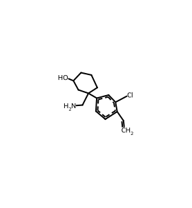 C=Cc1ccc(C2(CN)CCCC(O)C2)cc1Cl